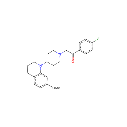 COc1ccc2c(c1)N(C1CCN(CC(=O)c3ccc(F)cc3)CC1)CCC2